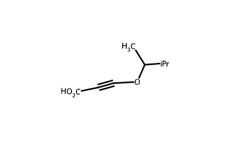 CC(C)C(C)OC#CC(=O)O